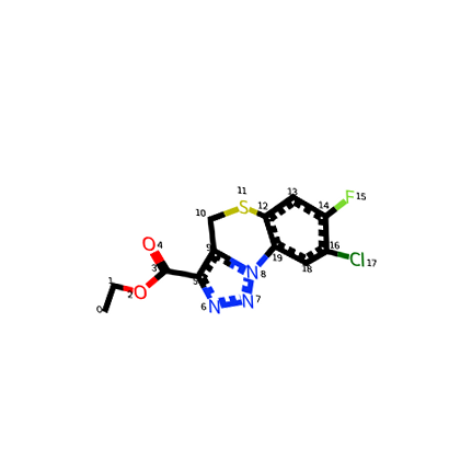 CCOC(=O)c1nnn2c1CSc1cc(F)c(Cl)cc1-2